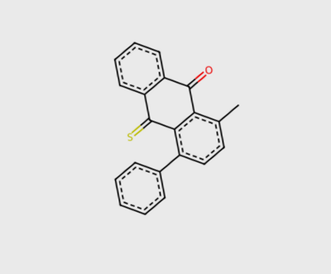 Cc1ccc(-c2ccccc2)c2c1C(=O)c1ccccc1C2=S